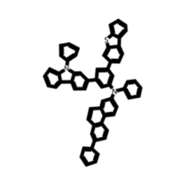 c1ccc(-c2ccc3c(ccc4cc(N(c5ccccc5)c5cc(-c6ccc7c(c6)sc6ccccc67)cc(-c6ccc7c8ccccc8n(-c8ccccc8)c7c6)c5)ccc43)c2)cc1